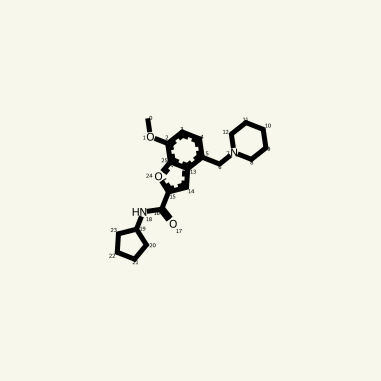 COc1ccc(CN2CCCCC2)c2cc(C(=O)NC3CCCC3)oc12